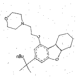 CCCCC(C)(C)c1cc(OCCN2CCOCC2)c2c(c1)OC1CCCCC21